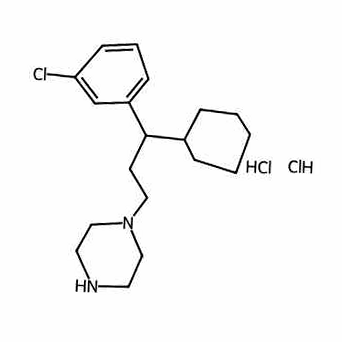 Cl.Cl.Clc1cccc(C(CCN2CCNCC2)C2CCCCC2)c1